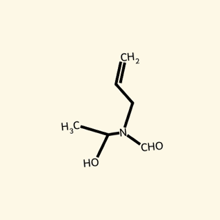 C=CCN(C=O)C(C)O